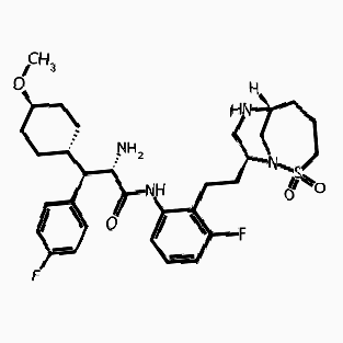 CO[C@H]1CC[C@H]([C@H](c2ccc(F)cc2)[C@H](N)C(=O)Nc2cccc(F)c2CC[C@H]2CN[C@@H]3CCCS(=O)(=O)N2C3)CC1